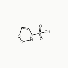 O=S(=O)(O)C1=NOOC=C1